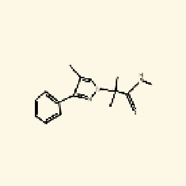 CNC(=S)C(C)(C)n1cc(C)c(-c2ccccc2)n1